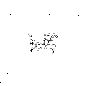 CCC(COC)N(C(=O)Nc1cc(NCCOC)c(C#N)cn1)c1nc(C=O)ccc1C